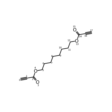 C#CC(=O)OCCCCCCCCOC(=O)C#C